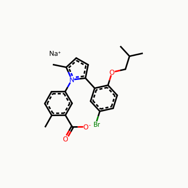 Cc1ccc(-n2c(C)ccc2-c2cc(Br)ccc2OCC(C)C)cc1C(=O)[O-].[Na+]